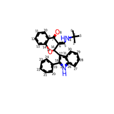 CC(C)(C)NC=C1C(=O)c2ccccc2OC1c1c(-c2ccccc2)[nH]c2ccccc12